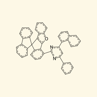 c1ccc(-c2cc(-c3cccc4ccccc34)nc(-c3cccc4c3-c3oc5ccccc5c3C43c4ccccc4-c4ccccc43)n2)cc1